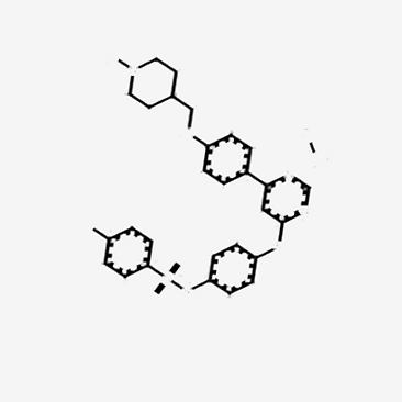 CN1CCC(COc2ccc(-c3cc(Nc4ccc(NS(=O)(=O)c5ccc(F)cc5)cc4)ncn3)cc2)CC1.O=CO